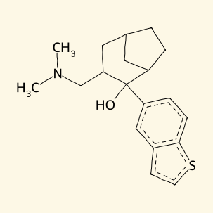 CN(C)CC1CC2CCC(C2)C1(O)c1ccc2sccc2c1